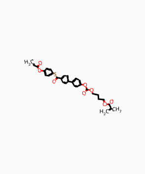 C=CC(=O)Oc1ccc(SC(=O)c2ccc(-c3ccc(OC(=O)OCCCCOC(=O)C(=C)C)cc3)cc2)cc1